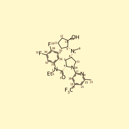 CCN(C(=O)[C@@H]1C[C@H](N(C)[C@@H]2CCC[C@H]2O)CN1c1cc(C(F)(F)F)cc(C)n1)c1ccc(F)c(F)c1